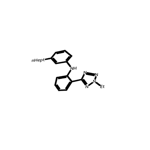 CCCCCCCc1cccc(Nc2ccccc2-c2nnn(CC)n2)c1